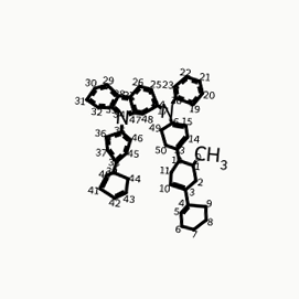 CC1CC(C2=CCCCC2)=CCC1C1=CC=C(N(c2ccccc2)c2ccc3c4ccccc4n(-c4ccc(C5C=CC=CC5)cc4)c3c2)CC1